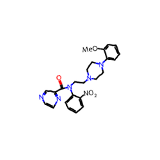 COc1ccccc1N1CCN(CCN(C(=O)c2cnccn2)c2ccccc2[N+](=O)[O-])CC1